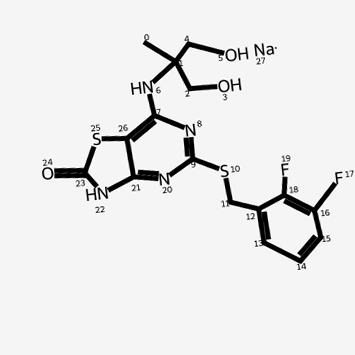 CC(CO)(CO)Nc1nc(SCc2cccc(F)c2F)nc2[nH]c(=O)sc12.[Na]